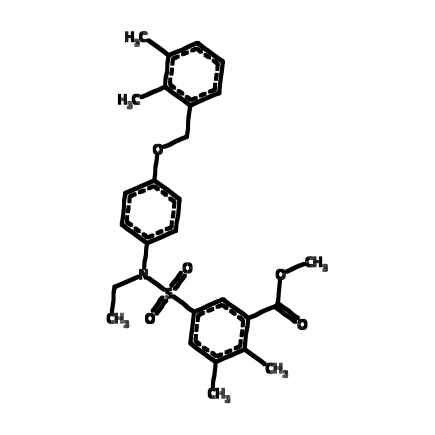 CCN(c1ccc(OCc2cccc(C)c2C)cc1)S(=O)(=O)c1cc(C)c(C)c(C(=O)OC)c1